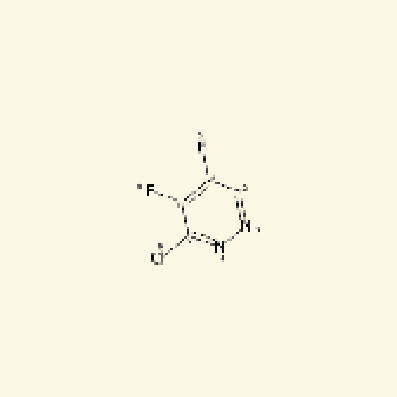 Fc1cnnc(Cl)c1F